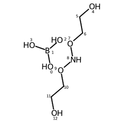 OB(O)O.OCCONOCCO